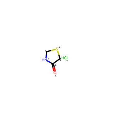 Cl.O=C1CSCN1